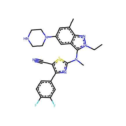 CCn1nc2c(C)cc(N3CCNCC3)cc2c1N(C)c1nc(-c2ccc(F)c(F)c2)c(C#N)s1